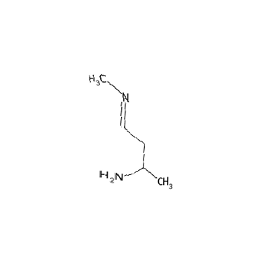 C/N=C/CC(C)N